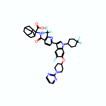 O=C(NC1(C(=O)O)C2CC3CC(C2)CC1C3)c1ccc(-c2cn(C3CCC(F)(F)CC3)c3cc(OC4CCN(c5ncccn5)CC4)c(F)cc23)nc1C(F)(F)F